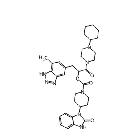 Cc1cc(CC(OC(=O)N2CCC(n3c(=O)[nH]c4ccccc43)CC2)C(=O)N2CCN(C3CCCCC3)CC2)cc2nn[nH]c12